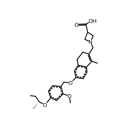 CC[C@@H](C)Oc1ccc(COc2ccc3c(c2)CCC(CN2CC(C(=O)O)C2)=C3C)c(OC)c1